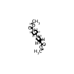 CCOC(=O)[C@H]1[C@@H]2CN(C3CCN(C(=O)OCC)CC3)C[C@@H]21